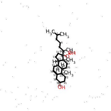 CC(C)CCC[C@@H](C)[C@@]1(OO)CC[C@H]2[C@@H]3CC=C4C[C@@H](O)CC[C@]4(C)[C@H]3CC[C@@]21C